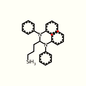 [SiH3]CCCC(N(c1ccccc1)c1ccccc1)N(c1ccccc1)c1ccccc1